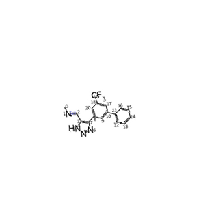 C/N=C/c1[nH]nnc1-c1cc(-c2ccccc2)cc(C(F)(F)F)c1